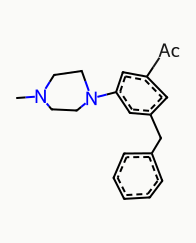 CC(=O)c1cc(Cc2ccccc2)cc(N2CCN(C)CC2)c1